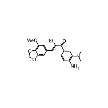 CC/C(=C\c1cc(OC)c2c(c1)OCO2)C(=O)c1ccc(N)c(N(C)C)c1